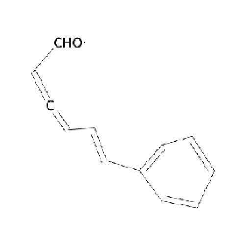 O=[C]C=C=CC=Cc1ccccc1